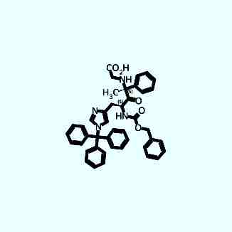 C[C@@](NCC(=O)O)(C(=O)[C@H](Cc1cn(C(c2ccccc2)(c2ccccc2)c2ccccc2)cn1)NC(=O)OCc1ccccc1)c1ccccc1